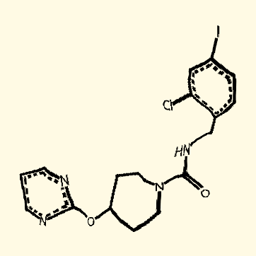 O=C(NCc1ccc(I)cc1Cl)N1CCC(Oc2ncccn2)CC1